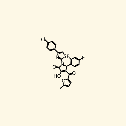 Cc1ccc(C(=O)C2=C(O)C(=O)N(c3nc(-c4ccc(Cl)cc4)cs3)C2c2ccc(F)cc2F)o1